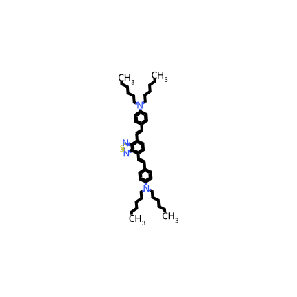 CCCCCCN(CCCCCC)c1ccc(C=Cc2ccc(C=Cc3ccc(N(CCCCCC)CCCCCC)cc3)c3nsnc23)cc1